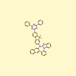 CC1(C)c2cc(-c3nc(-c4ccccc4)nc(-c4ccccc4)n3)ccc2-c2ccc(N3c4cc5ccccc5cc4-c4ccccc4-n4c3nc3ccccc34)cc21